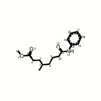 COC(=O)CCC(C)CCCC(=O)Nc1ccccc1